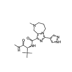 CNC(=O)[C@@H](NC(=O)c1nc(-c2cn[nH]c2)n2c1CN(C)CCC2)C(C)(C)C